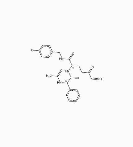 CC(=O)N[C@H](C(=O)N[C@@H](CCC(=O)C=N)C(=O)NCc1ccc(F)cc1)c1ccccc1